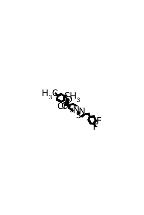 Cc1cc(C)c(S(=O)(=O)C2CCN(c3nc(Cc4ccc(F)c(F)c4)cs3)CC2)c(C)c1